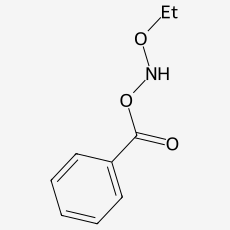 CCONOC(=O)c1ccccc1